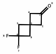 O=C1CC2(C1)CC(F)(F)C2